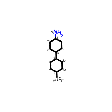 CCCC1CCC(C2CCC(N)CC2)CC1